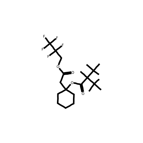 CC(C)(C)C(C)(C(=O)OC1(CC(=O)OCC(F)(F)C(F)(F)F)CCCCC1)C(C)(C)C